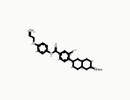 C=CCOc1ccc(OC(=O)c2ccc(C3CCC4CC(CCCCCC)CCC4C3)c(F)c2)cc1